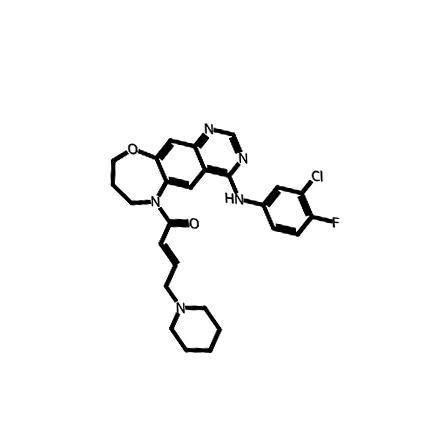 O=C(/C=C/CN1CCCCC1)N1CCCOc2cc3ncnc(Nc4ccc(F)c(Cl)c4)c3cc21